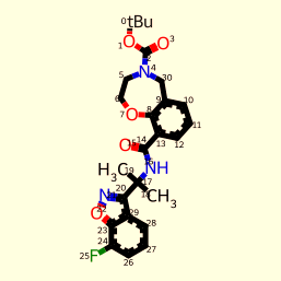 CC(C)(C)OC(=O)N1CCOc2c(cccc2C(=O)NC(C)(C)c2noc3c(F)cccc23)C1